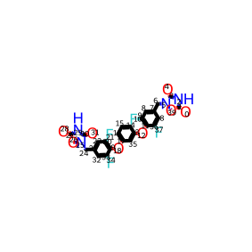 O=c1[nH]c(=O)n(Cc2cc(F)c(Oc3cccc(Oc4c(F)cc(Cn5oc(=O)[nH]c5=O)cc4F)c3)c(F)c2)o1